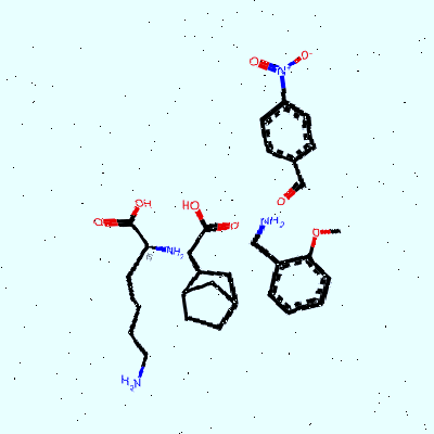 COc1ccccc1CN.NCCCC[C@H](N)C(=O)O.O=C(O)CC1CC2CCC1C2.O=Cc1ccc([N+](=O)[O-])cc1